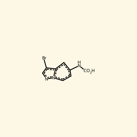 O=C(O)Nc1ccn2ncc(Br)c2c1